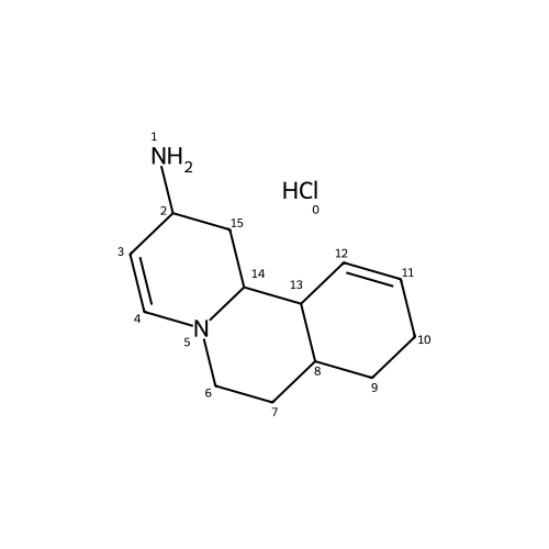 Cl.NC1C=CN2CCC3CCC=CC3C2C1